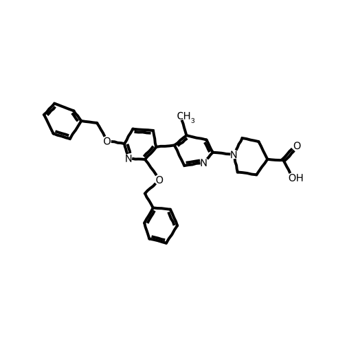 Cc1cc(N2CCC(C(=O)O)CC2)ncc1-c1ccc(OCc2ccccc2)nc1OCc1ccccc1